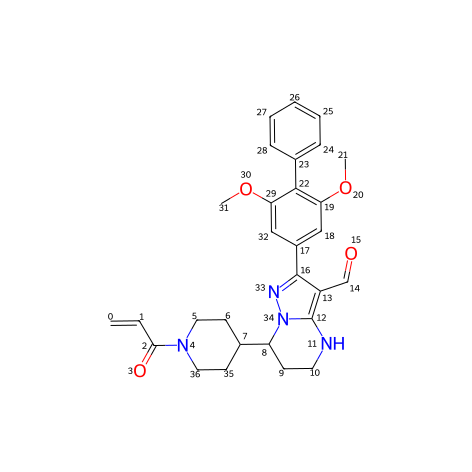 C=CC(=O)N1CCC(C2CCNc3c(C=O)c(-c4cc(OC)c(-c5ccccc5)c(OC)c4)nn32)CC1